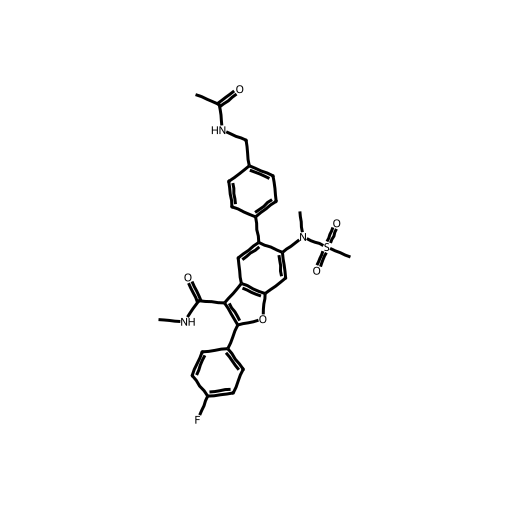 CNC(=O)c1c(-c2ccc(F)cc2)oc2cc(N(C)S(C)(=O)=O)c(-c3ccc(CNC(C)=O)cc3)cc12